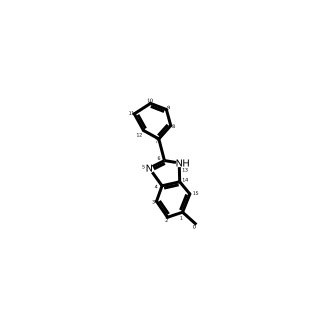 Cc1ccc2nc(-c3ccccc3)[nH]c2c1